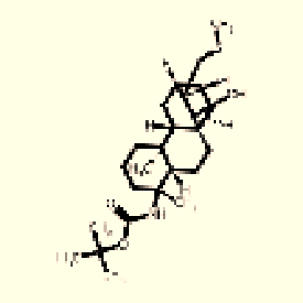 CSC[C@H]1[C@H]2CC[C@@]3(CC[C@H]4[C@@](C)(CCC[C@@]4(C)NC(=O)OC(C)(C)C)[C@@H]3C2)[C@@H]1O